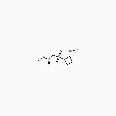 CB[C@@H]1CCN1S(=O)(=O)CC(=O)OC